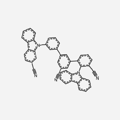 N#Cc1cc(-c2cccc(-n3c4ccccc4c4ccc(C#N)cc43)c2)cc(-c2cccc(C#N)c2-n2c3ccccc3c3ccccc32)c1